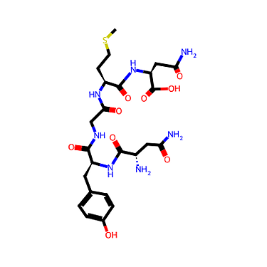 CSCC[C@H](NC(=O)CNC(=O)[C@H](Cc1ccc(O)cc1)NC(=O)[C@@H](N)CC(N)=O)C(=O)N[C@@H](CC(N)=O)C(=O)O